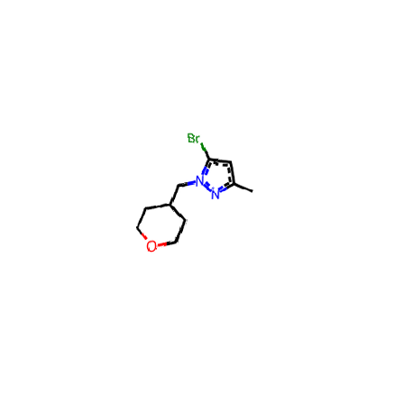 Cc1cc(Br)n(CC2CCOCC2)n1